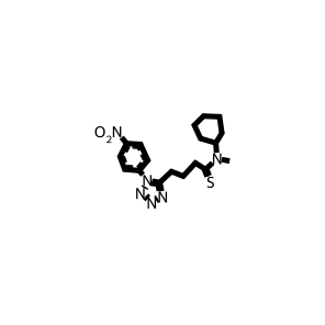 CN(C(=S)CCCc1nnnn1-c1ccc([N+](=O)[O-])cc1)C1CCCCC1